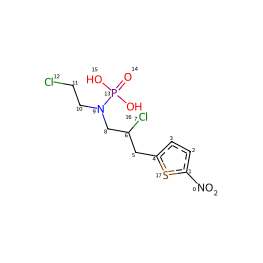 O=[N+]([O-])c1ccc(CC(Cl)CN(CCCl)P(=O)(O)O)s1